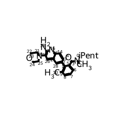 CCCC(C)N(C)C(=O)c1cccc(C)c1-c1ccc2nc(N)c(N3CCOCC3)cc2c1